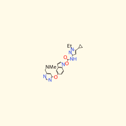 CCn1nc(NC(=O)On2ccc3cc(Oc4cc(CNC)ncn4)ccc32)cc1C1CC1